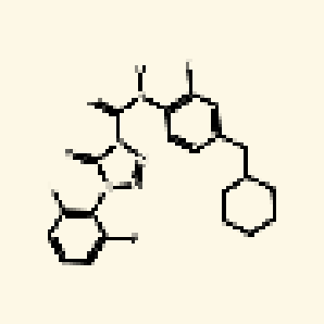 CCN(C(=O)n1nnn(-c2c(F)cccc2F)c1=O)c1ccc(CC2CCCCC2)cc1F